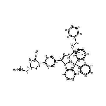 CC(=O)NC[C@H]1CN(c2ccc(C3=C[C@@H](C(=O)OCc4ccccc4)N(C(c4ccccc4)(c4ccccc4)c4ccccc4)C3)cc2)C(=O)O1